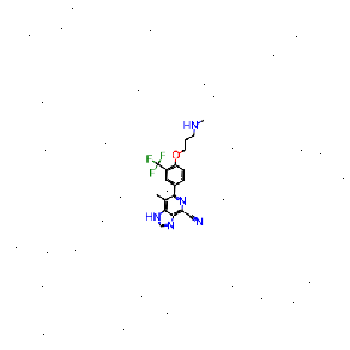 CNCCCOc1ccc(-c2nc(C#N)c3nc[nH]c3c2C)cc1C(F)(F)F